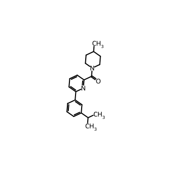 CC1CCN(C(=O)c2cccc(-c3cccc(C(C)C)c3)n2)CC1